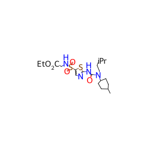 CCOC(=O)CNS(=O)(=O)c1cnc(NC(=O)N(CCC(C)C)C2CCC(C)CC2)s1